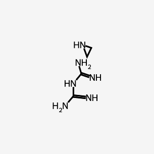 C1CN1.N=C(N)NC(=N)N